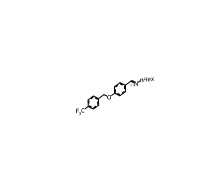 CCCCCC/N=C/c1ccc(OCc2ccc(C(F)(F)F)cc2)cc1